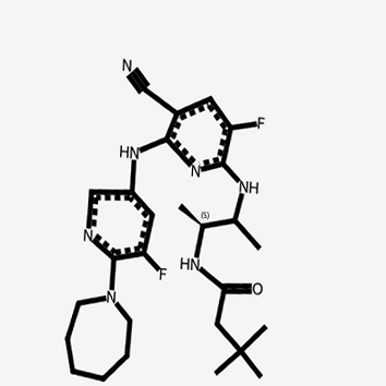 CC(Nc1nc(Nc2cnc(N3CCCCCC3)c(F)c2)c(C#N)cc1F)[C@H](C)NC(=O)CC(C)(C)C